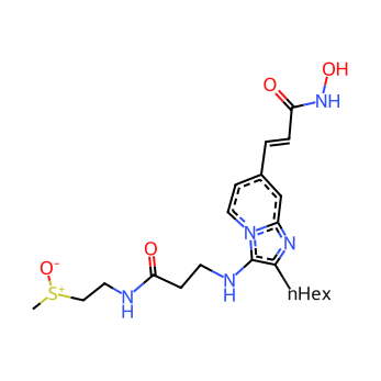 CCCCCCc1nc2cc(C=CC(=O)NO)ccn2c1NCCC(=O)NCC[S+](C)[O-]